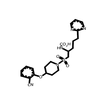 N#Cc1ccccc1OC1CCN(S(=O)(=O)CC(CCCc2ncccn2)NC(=O)O)CC1